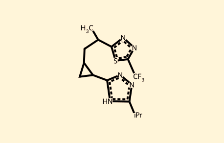 CC(C)c1nnc(C2CC2CC(C)c2nnc(C(F)(F)F)s2)[nH]1